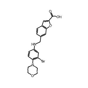 O=C(O)c1cc2ccc(CNc3ccc(N4CCOCC4)c(Br)c3)cc2o1